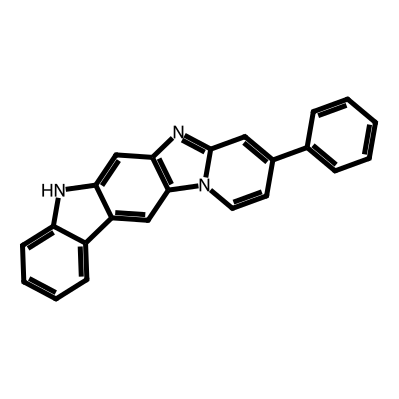 c1ccc(-c2ccn3c(c2)nc2cc4[nH]c5ccccc5c4cc23)cc1